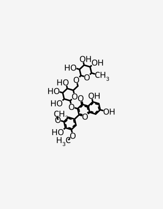 COc1cc(-c2oc3cc(O)cc(O)c3c(=O)c2OC2OC(COC3OC(C)C(O)C(O)C3O)C(O)C(O)C2O)cc(OC)c1O